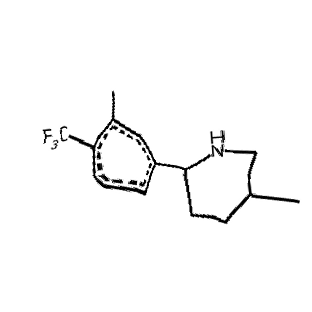 Cc1cc(C2CCC(C)CN2)ccc1C(F)(F)F